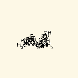 CC(C1CC1)N1Cc2cc(-c3ccn4nc(N)c(C(=O)NC5CCC(O)CC5)c4n3)cc(C(F)(F)F)c2C1=O